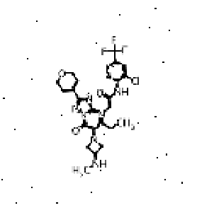 CCc1c(N2CC(NC)C2)c(=O)n2nc(C3=CCOCC3)nc2n1CC(=O)Nc1ccc(C(F)(F)F)cc1Cl